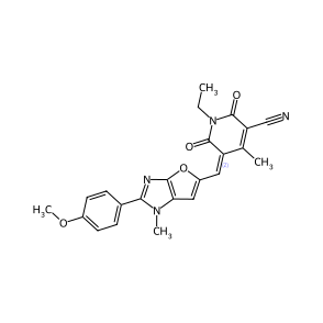 CCN1C(=O)C(C#N)=C(C)/C(=C/c2cc3c(nc(-c4ccc(OC)cc4)n3C)o2)C1=O